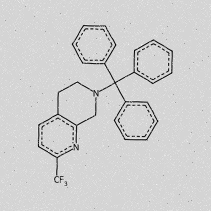 FC(F)(F)c1ccc2c(n1)CN(C(c1ccccc1)(c1ccccc1)c1ccccc1)CC2